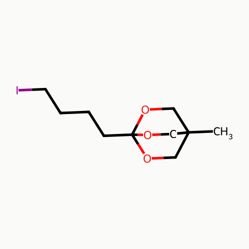 CC12COC(CCCCI)(OC1)OC2